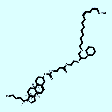 CCCCC/C=C\C/C=C\CCCCCCCCOCC(CN1CCCCC1)OCCOC(=O)CCNC(=O)O[C@H]1CC[C@@]2(C)C(=CC[C@H]3[C@@H]4CC[C@H]([C@H](C)CCCC(C)C)[C@@]4(C)CC[C@@H]32)C1